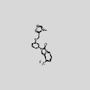 Cn1cnnc1CSc1cccc(-n2cc3c(C(F)(F)F)cccn3c2=O)c1